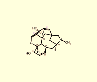 CC1/C2=C(O)\C=C/C34C[C@H]1C1[C@@H](O2)[C@@H](O)C=C[C@H]1C[C@@H](C3)N(C)C4